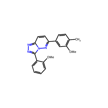 COc1cc(-c2ccc3nnc(-c4ccccc4OC)n3n2)ccc1C